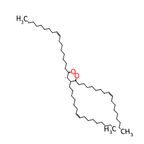 CCCCCCCC/C=C\CCCCCCCC(=O)[CH]C(CCCCCC/C=C\CCCCCCCC)C(=O)CCCCCCC/C=C\CCCCCCCC